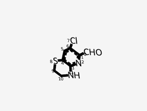 O=Cc1nc2c(cc1Cl)SCCN2